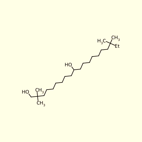 CCC(C)(C)CCCCCCCC(O)CCCCCCCC(C)(C)CO